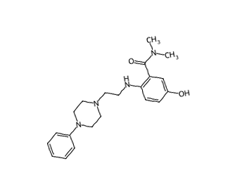 CN(C)C(=O)c1cc(O)ccc1NCCN1CCN(c2ccccc2)CC1